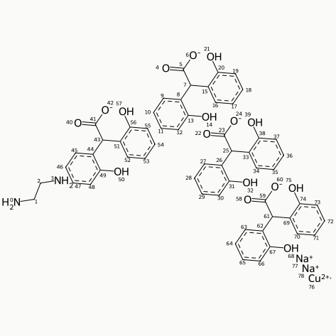 NCCN.O=C([O-])C(c1ccccc1O)c1ccccc1O.O=C([O-])C(c1ccccc1O)c1ccccc1O.O=C([O-])C(c1ccccc1O)c1ccccc1O.O=C([O-])C(c1ccccc1O)c1ccccc1O.[Cu+2].[Na+].[Na+]